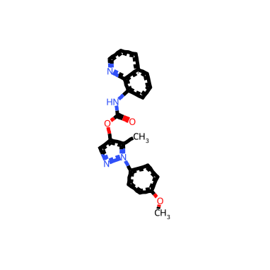 COc1ccc(-n2ncc(OC(=O)Nc3cccc4cccnc34)c2C)cc1